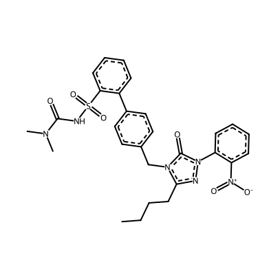 CCCCc1nn(-c2ccccc2[N+](=O)[O-])c(=O)n1Cc1ccc(-c2ccccc2S(=O)(=O)NC(=O)N(C)C)cc1